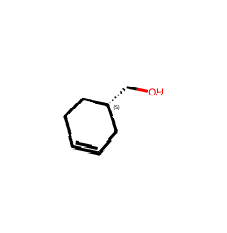 OC[C@@H]1CC=CCC1